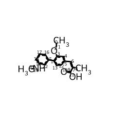 CCOc1cc(C=C(C)C(=O)O)ccc1-c1cccc(NC)c1